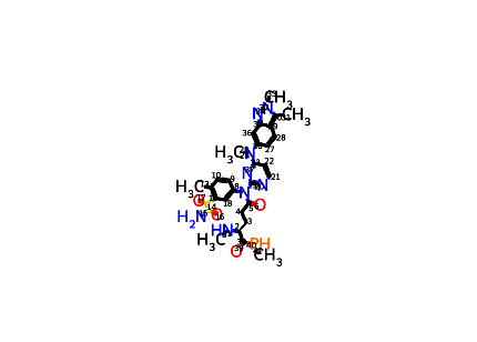 CN[C@@H](CCC(=O)N(c1ccc(C)c(S(N)(=O)=O)c1)c1nccc(N(C)c2ccc3c(C)n(C)nc3c2)n1)C(=O)PC